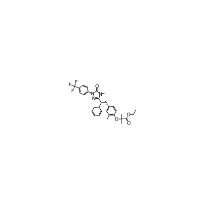 CCOC(=O)C(C)(C)Oc1ccc(SC(c2ccccc2)c2nn(-c3ccc(C(F)(F)F)cc3)c(=O)n2C)cc1C